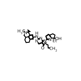 C=CCn1c(=O)c2cnc(Nc3cc4c5c(c3)C3(CC3)N(C)CC5CCC4)nc2n1-c1ccc2c(n1)C(O)(CC)CC2